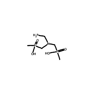 CP(=O)(O)CN(CP)CP(C)(=O)O